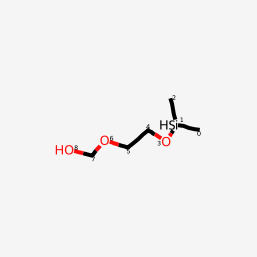 C[SiH](C)OCCOCO